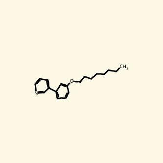 CCCCCCCCOc1cccc(-c2cccnc2)c1